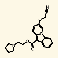 N#CCOc1ccc2c(C(=O)OCCN3CCCC3)c3ccccc3n2c1